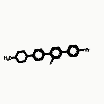 CCCc1ccc(-c2ccc(-c3ccc(C4CCC(C)CC4)cc3)c(F)c2)cc1